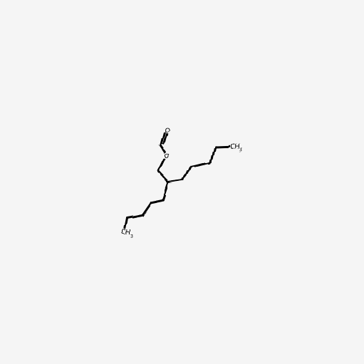 CCCCCC(CCCCC)CO[C]=O